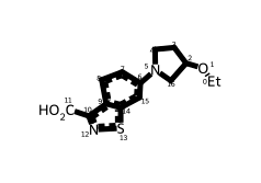 CCOC1CCN(c2ccc3c(C(=O)O)nsc3c2)C1